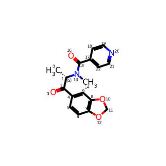 C[C@@H](C(=O)c1ccc2c(c1)OCO2)N(C)C(=O)c1ccncc1